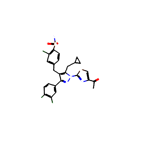 CC(=O)c1csc(-n2nc(-c3ccc(F)c(F)c3)c(Cc3ccc(S(N)(=O)=O)c(F)c3)c2CC2CC2)n1